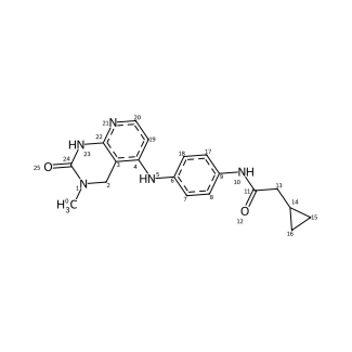 CN1Cc2c(Nc3ccc(NC(=O)CC4CC4)cc3)ccnc2NC1=O